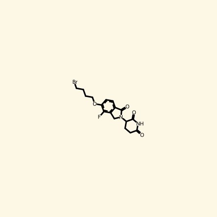 O=C1CCC(N2Cc3c(ccc(OCCCCBr)c3F)C2=O)C(=O)N1